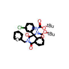 CC(C)(C)OC(=O)NN(C(=O)OC(C)(C)C)C1(c2cccc(Cl)c2)C(=O)N(Cc2ccccc2)C(=O)c2ccccc21